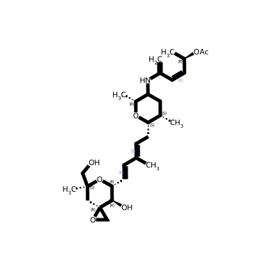 C=C(/C=C\[C@@H](C)OC(C)=O)NC1C[C@H](C)[C@H](C/C=C(C)/C=C/[C@H]2O[C@](C)(CO)C[C@@]3(CO3)[C@@H]2O)O[C@@H]1C